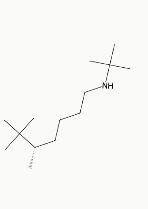 C[C@@H](CCCCNC(C)(C)C)C(C)(C)C